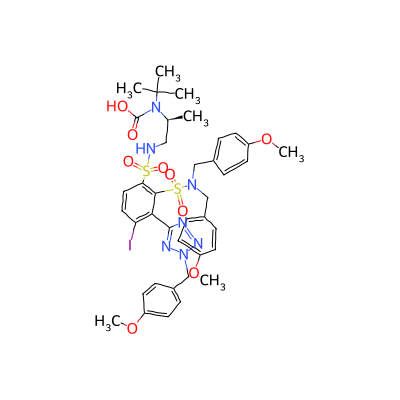 COc1ccc(CN(Cc2ccc(OC)cc2)S(=O)(=O)c2c(S(=O)(=O)NC[C@H](C)N(C(=O)O)C(C)(C)C)ccc(I)c2-c2nnn(Cc3ccc(OC)cc3)n2)cc1